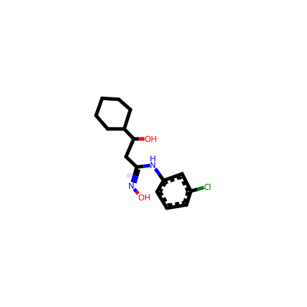 O/N=C(/CC(O)C1CCCCC1)Nc1cccc(Cl)c1